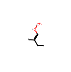 CCC(C)=COO